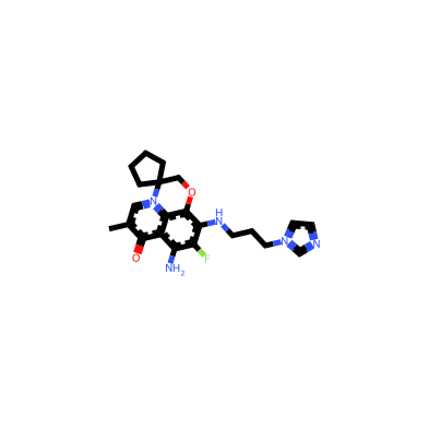 Cc1cn2c3c(c(NCCCn4ccnc4)c(F)c(N)c3c1=O)OCC21CCCC1